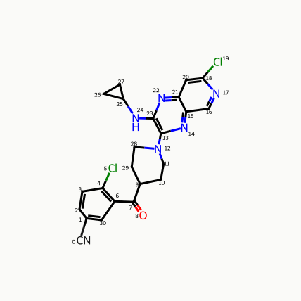 N#Cc1ccc(Cl)c(C(=O)C2CCN(c3nc4cnc(Cl)cc4nc3NC3CC3)CC2)c1